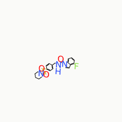 O=C(NCc1ccc(S(=O)(=O)N2CCCCC2)cc1)n1ccc2c(F)cccc21